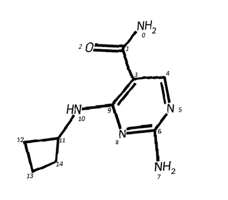 NC(=O)c1cnc(N)nc1NC1CCC1